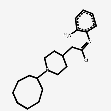 Nc1ccccc1/N=C(/Cl)CC1CCN(C2CCCCCCC2)CC1